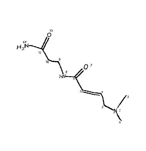 CN(C)CC=CC(=O)NCCC(N)=O